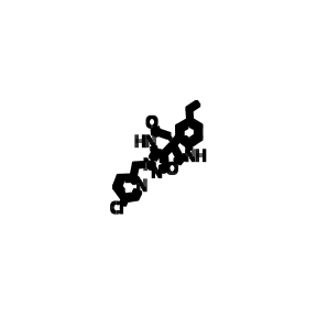 CCc1ccc2c(c1)[C@@]1(CC(=O)Nc3c1cnn3Cc1ccc(Cl)cn1)C(=O)N2